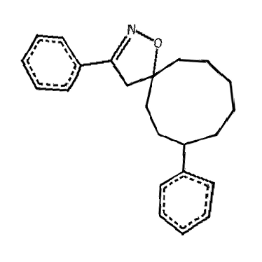 c1ccc(C2=NOC3(CCCCCC(c4ccccc4)CC3)C2)cc1